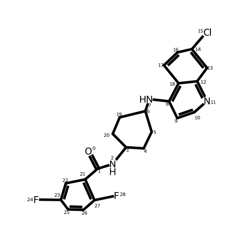 O=C(NC1CCC(Nc2ccnc3cc(Cl)ccc23)CC1)c1cc(F)ccc1F